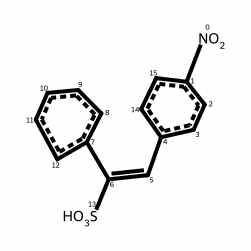 O=[N+]([O-])c1ccc(C=C(c2ccccc2)S(=O)(=O)O)cc1